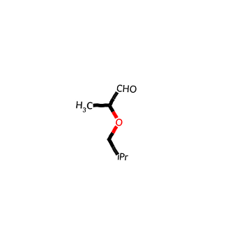 CC(C)COC(C)C=O